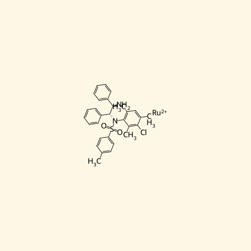 Cc1ccc(S(=O)(=O)N(c2c(C)cc(C)c(Cl)c2C)[C@H](c2ccccc2)[C@H](N)c2ccccc2)cc1.[Ru+2]